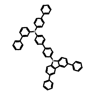 c1ccc(-c2ccc(N(c3ccc(-c4ccc(-n5c6ccc(-c7ccccc7)cc6c6cc(-c7ccccc7)ccc65)cc4)cc3)c3cccc(-c4ccccc4)c3)cc2)cc1